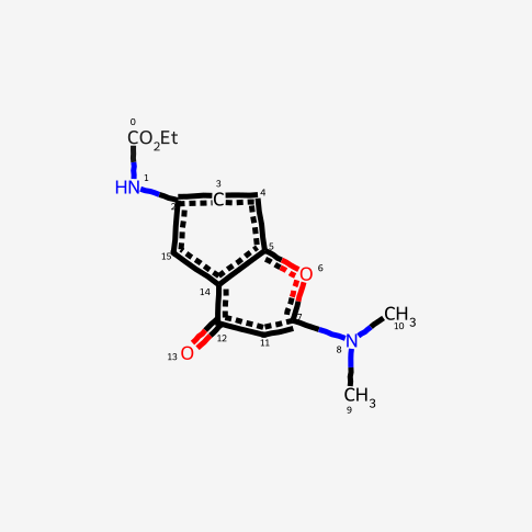 CCOC(=O)Nc1ccc2oc(N(C)C)cc(=O)c2c1